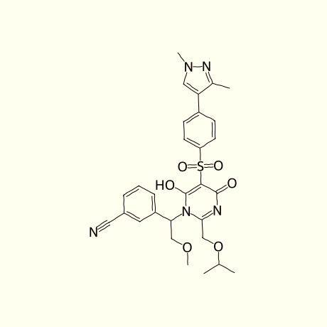 COCC(c1cccc(C#N)c1)n1c(COC(C)C)nc(=O)c(S(=O)(=O)c2ccc(-c3cn(C)nc3C)cc2)c1O